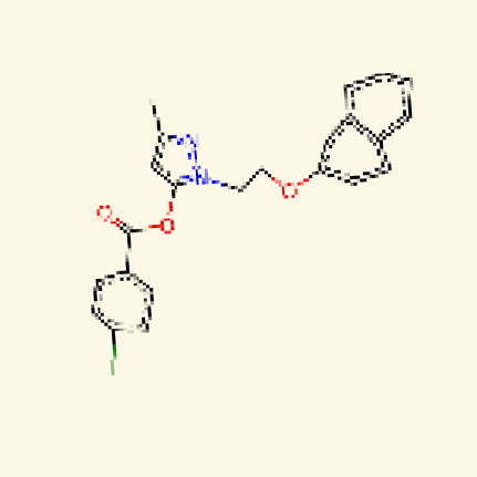 Cc1cc(OC(=O)c2ccc(F)cc2)n(CCOc2ccc3ccccc3c2)n1